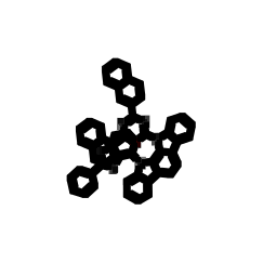 c1ccc(-c2nc3cccc(-n4c5ccccc5c5ccc6c7ccccc7n(-c7nc(-c8ccc9ccccc9c8)nc(-c8cccc9ccccc89)n7)c6c54)c3s2)cc1